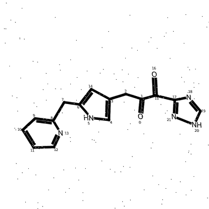 O=C(Cc1c[nH]c(Cc2ccccn2)c1)C(=O)c1nc[nH]n1